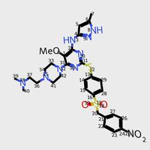 COc1c(Nc2cc(C)[nH]n2)nc(Sc2ccc(S(=O)(=O)Cc3ccc([N+](=O)[O-])cc3)cc2)nc1N1CCN(CCN(C)C)CC1